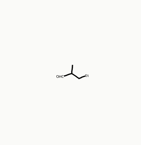 CC[CH]C(C)C=O